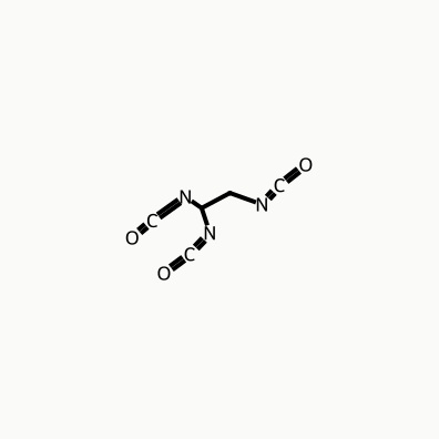 O=C=NCC(N=C=O)N=C=O